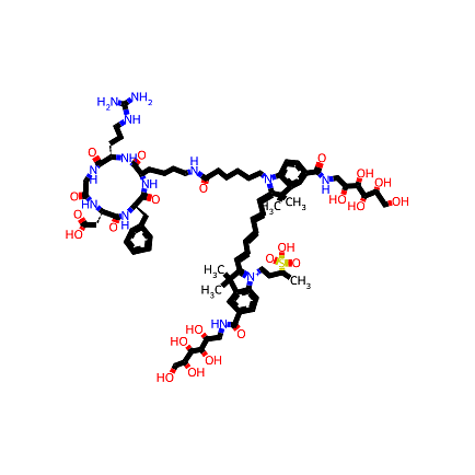 CC(CC[N+]1=C(/C=C/C=C/C=C/C=C2/N(CCCCCC(=O)NCCCCC3NC(=O)[C@@H](Cc4ccccc4)NC(=O)[C@H](CC(=O)O)NC(=O)CNC(=O)[C@H](CCCNC(N)N)NC3=O)c3ccc(C(=O)NCC(O)C(O)C(O)C(O)CO)cc3C2(C)C)C(C)(C)c2cc(C(=O)NCC(O)C(O)C(O)C(O)CO)ccc21)S(=O)(=O)O